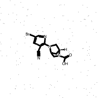 N#Cc1cc(Br)cnc1N1C[C@H]2CC1CN2C(=O)O